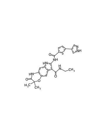 CCNC(=O)c1c(NC(=O)c2ccc(-c3cn[nH]c3)s2)[nH]c2cc3c(cc12)OC(C)(C)C(=O)N3